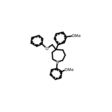 COc1cccc(C2(COc3ccccc3)CCCN(c3ccccc3OC)CC2)c1